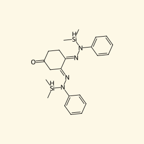 C[SiH](C)N(N=C1CCC(=O)CC1=NN(c1ccccc1)[SiH](C)C)c1ccccc1